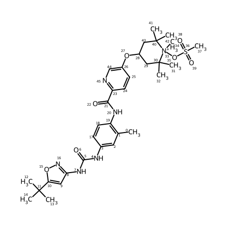 Cc1cc(NC(=O)Nc2cc(C(C)(C)C)on2)ccc1NC(=O)c1ccc(OC2CC(C)(C)[N+](C)(OS(C)(=O)=O)C(C)(C)C2)cn1